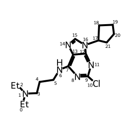 CCN(CC)CCCNc1nc(Cl)nc2c1ncn2C1CCCC1